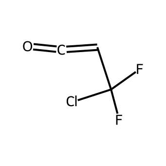 O=C=CC(F)(F)Cl